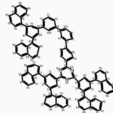 c1cc(-c2ccc(-c3nc(-c4cc(-c5cccc6ccccc56)cc(-c5cccc6ccccc56)c4)nc(-c4cc(-c5cccc6ccccc56)cc(-c5cccc6ccccc56)c4)n3)cc2)cc(-c2cccc(-c3cc(-c4cccc5ccccc45)cc(-c4cccc5ccccc45)c3)c2)c1